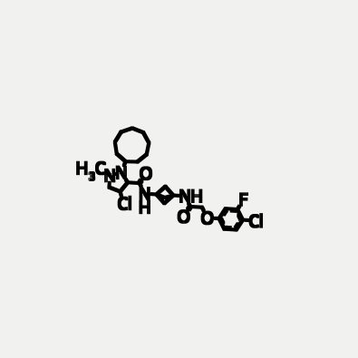 CN1CC(Cl)C(C(=O)NC23CC(NC(=O)COc4ccc(Cl)c(F)c4)(C2)C3)N1C1CCCCCCCC1